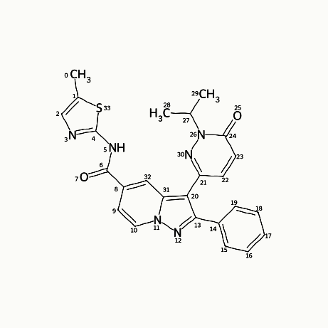 Cc1cnc(NC(=O)c2ccn3nc(-c4ccccc4)c(-c4ccc(=O)n(C(C)C)n4)c3c2)s1